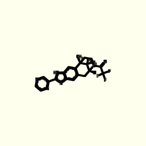 CC1(C)[C@H]2Cc3cc4nc(-c5cnccn5)[nH]c4cc3[C@]1(C)CCN2C(=O)C(F)(F)F